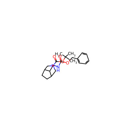 CC(C)(C)OC(=O)N1CC2CCC(C1)C2CNC(=O)OCc1ccccc1